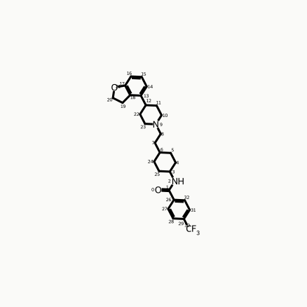 O=C(NC1CCC(CCN2CCC(c3cccc4c3CCO4)CC2)CC1)c1ccc(C(F)(F)F)cc1